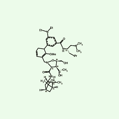 CCN(CC)c1cc(C(=O)N[C@@H](CC(C)C)CN(C)C)cc(C2CC=CC(CN3O[C@@H](CO)[C@@H]([C@H](C)O)[C@H]3C(=O)N[C@H]3C[C@H]4C[C@@H]([C@@H]3C)C4(C)C)=C2OC)c1